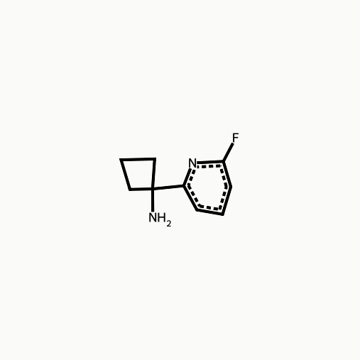 NC1(c2cccc(F)n2)CCC1